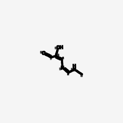 CN/C=N\C=C(\O)C=O